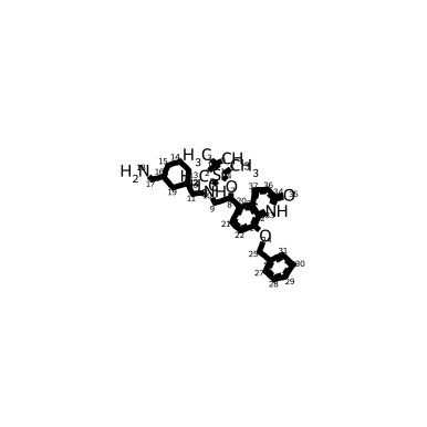 CC(C)(C)[Si](C)(C)OC(CNCC1CCCC(CN)C1)c1ccc(OCc2ccccc2)c2[nH]c(=O)ccc12